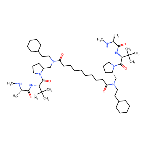 CN[C@@H](C)C(=O)N[C@H](C(=O)N1CCC[C@H]1CN(CCC1CCCCC1)C(=O)CCCCCCCCC(=O)N(CCC1CCCCC1)C[C@@H]1CCCN1C(=O)[C@@H](NC(=O)[C@H](C)NC)C(C)(C)C)C(C)(C)C